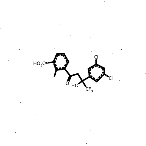 Cc1c(C(=O)O)cccc1C(=O)CC(O)(c1cc(Cl)cc(Cl)c1)C(F)(F)F